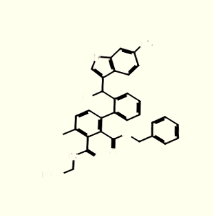 CCC(c1ccccc1-c1ccc(C)c(C(=O)NCC(=O)O)c1C(=O)OCc1ccccc1)c1c[nH]c2cc(C#N)ccc12